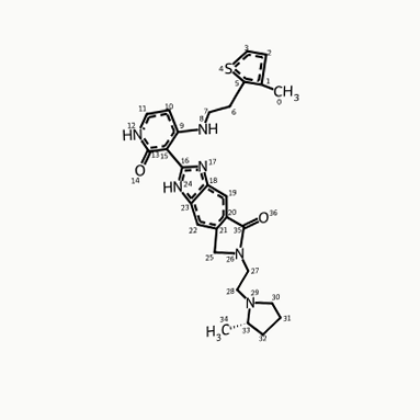 Cc1ccsc1CCNc1cc[nH]c(=O)c1-c1nc2cc3c(cc2[nH]1)CN(CCN1CCC[C@@H]1C)C3=O